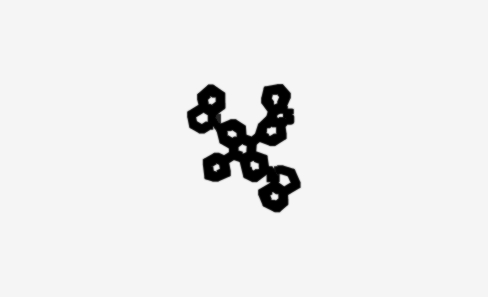 c1ccc(-c2c3ccc(N4CCCc5ccccc54)cc3c(-c3ccc4sc5ccccc5c4c3)c3ccc(N4CCCc5ccccc54)cc23)cc1